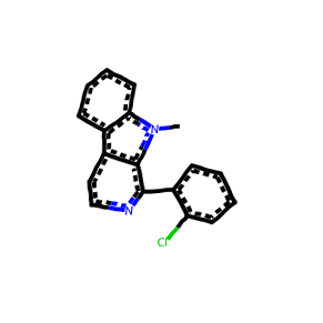 Cn1c2ccccc2c2ccnc(-c3ccccc3Cl)c21